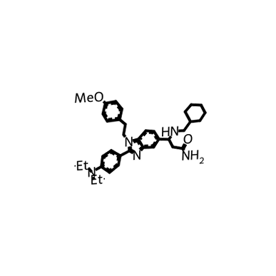 [CH2][CH]N([CH][CH2])c1ccc(-c2nc3cc(C(CC(N)=O)NCC4CCCCC4)ccc3n2CCc2ccc(OC)cc2)cc1